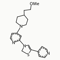 COCCC1CCN(c2ccnc(N3C=C(c4ccncc4)SC3)c2)CC1